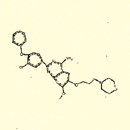 COc1cc2nc(-c3ccc(Oc4ccccc4)c(Cl)c3)nc(N)c2cc1OCCCN1CCOCC1